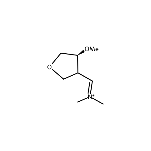 CO[C@@H]1COCC1C=[N+](C)C